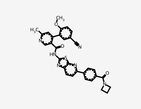 COc1ccc(C#N)cc1-c1cc(C)ncc1C(=O)Nc1nc2ccc(-c3ccc(C(=O)N4CCC4)cc3)nc2s1